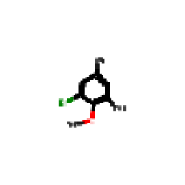 CCCOc1c(Br)cc(C(C)(C)C)cc1C(C)(C)C